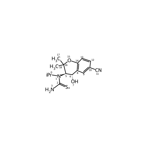 CC(C)N(C(N)=S)[C@@H]1[C@@H](O)c2cc(C#N)ccc2OC1(C)C